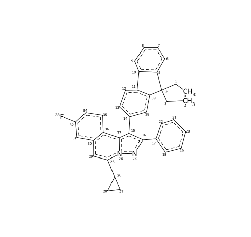 CCC1(CC)c2ccccc2-c2ccc(-c3c(-c4ccccc4)nn4c(C5CC5)cc5cc(F)ccc5c34)cc21